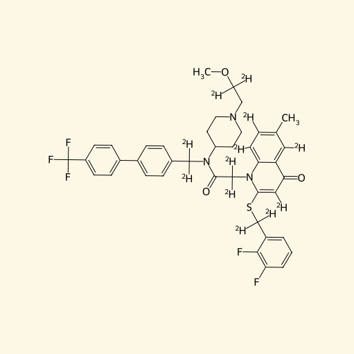 [2H]c1c(C)c([2H])c2c(=O)c([2H])c(SC([2H])([2H])c3cccc(F)c3F)n(C([2H])([2H])C(=O)N(C3CCN(CC([2H])([2H])OC)CC3)C([2H])([2H])c3ccc(-c4ccc(C(F)(F)F)cc4)cc3)c2c1[2H]